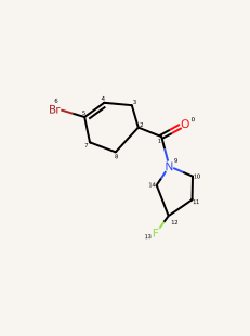 O=C(C1CC=C(Br)CC1)N1CCC(F)C1